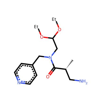 CCOC(CN(Cc1ccncc1)C(=O)[C@H](C)CN)OCC